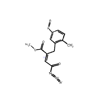 COC(=O)/C(=C/C(=O)N=[N+]=[N-])Cc1cc(N=O)ccc1C